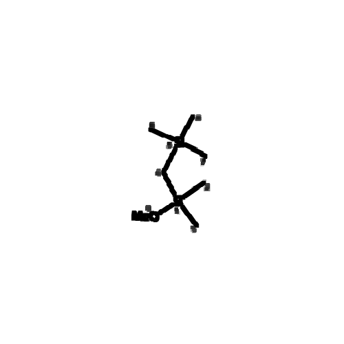 CO[Si](C)(C)C[Si](C)(C)C